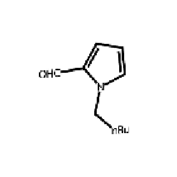 CCCCCn1cccc1C=O